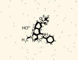 CCn1ncc2c(N[C@@H](C)C3CCCCC3)c3cc(S(=O)(=O)C(F)(F)F)ccc3nc21.Cl